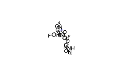 CN(C(=O)/C(=C\N(C=O)CC1CC1)C(=O)Nc1ccc(Oc2ccnc(NC(=O)N3CCC3)c2)c(F)c1)c1ccc(F)cc1